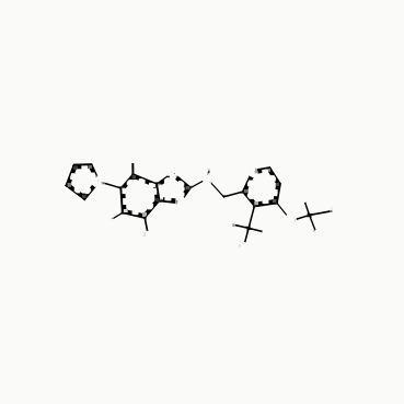 [2H]c1c(-n2cccc2)c([2H])c2nc([S+]([O-])Cc3nccc(OC([2H])([2H])[2H])c3C([2H])([2H])[2H])[nH]c2c1[2H]